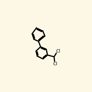 ClC(Cl)c1cccc(-c2cc[c]cc2)c1